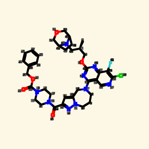 C[C@@H](COc1nc(N2CCCn3nc(C(=O)N4CCN(C(=O)OCc5ccccc5)CC4)cc3C2)c2cnc(Cl)c(F)c2n1)CN1C2CCC1COC2